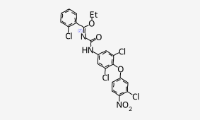 CCO/C(=N\C(=O)Nc1cc(Cl)c(Oc2ccc([N+](=O)[O-])c(Cl)c2)c(Cl)c1)c1ccccc1Cl